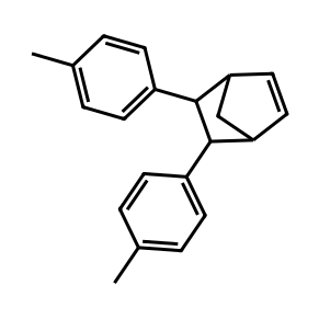 Cc1ccc(C2C3C=CC(C3)C2c2ccc(C)cc2)cc1